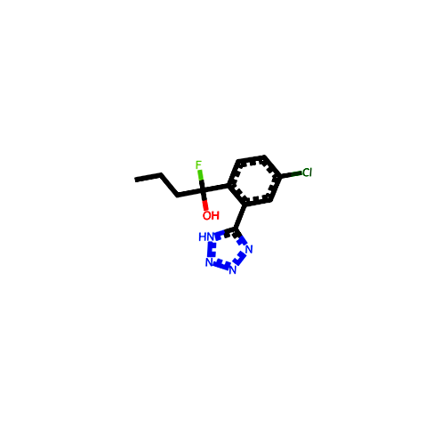 CCCC(O)(F)c1ccc(Cl)cc1-c1nnn[nH]1